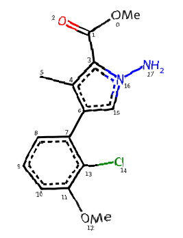 COC(=O)c1c(C)c(-c2cccc(OC)c2Cl)cn1N